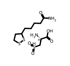 NC(=O)CCCCC1CCSS1.N[C@@H](C[SH](=O)=O)C(=O)O